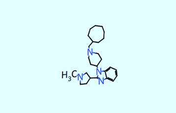 CN1CCC(c2nc3ccccc3n2C2CCN(CC3CCCCCCC3)CC2)C1